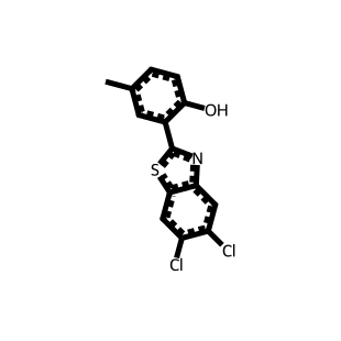 Cc1ccc(O)c(-c2nc3cc(Cl)c(Cl)cc3s2)c1